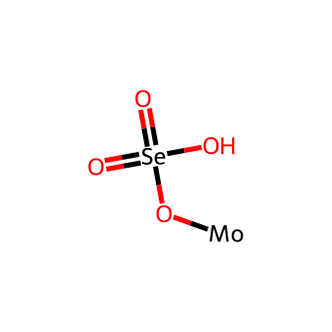 O=[Se](=O)(O)[O][Mo]